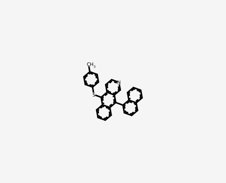 Cc1ccc(Sc2c3ccccc3c(-c3cccc4ccccc34)c3cnccc23)cc1